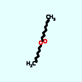 C=CCCCCCCOC(=O)CCCCCC/C=C/C